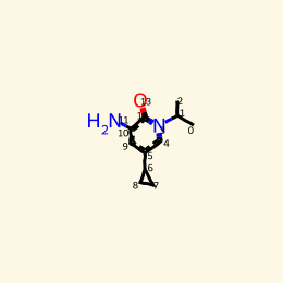 CC(C)n1cc(C2CC2)cc(N)c1=O